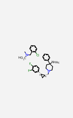 CC(=O)NC1(c2ccccc2)CCN(C[C@@H]2C[C@@H]2c2ccc(F)c(F)c2)CC1.CN(Cc1ccccc1Cl)C(=O)O